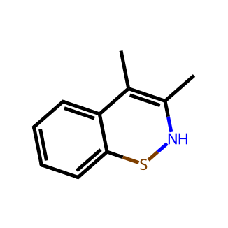 CC1=C(C)c2ccccc2SN1